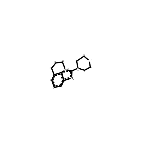 c1cc2c3c(c1)nc(N1CCSCC1)n3CCC2